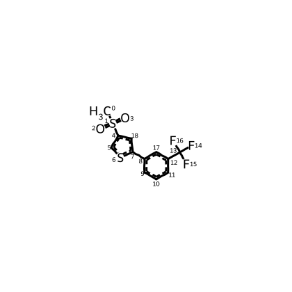 CS(=O)(=O)c1csc(-c2cccc(C(F)(F)F)c2)c1